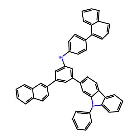 c1ccc(-n2c3ccccc3c3ccc(-c4cc(Nc5ccc(-c6cccc7ccccc67)cc5)cc(-c5ccc6ccccc6c5)c4)cc32)cc1